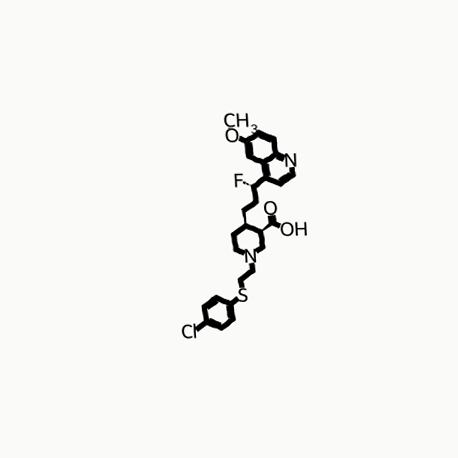 COc1ccc2nccc([C@@H](F)CC[C@@H]3CCN(CCSc4ccc(Cl)cc4)C[C@@H]3C(=O)O)c2c1